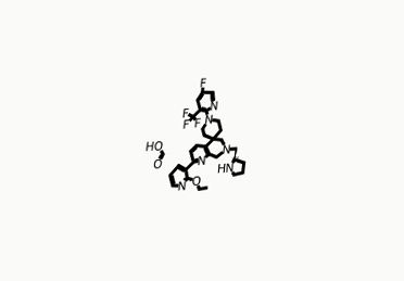 CCOc1ncccc1-c1ccc2c(n1)CN(C[C@H]1CCCN1)CC21CCN(c2ncc(F)cc2C(F)(F)F)CC1.O=CO